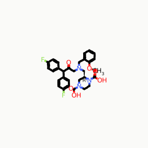 COc1ccccc1CN(CC(=O)C(c1ccc(F)cc1)c1ccc(F)cc1)C[C@@H]1CN(C(=O)O)CCN1C(=O)O